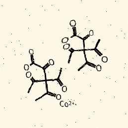 CC(=O)C(C(C)=O)(C(C)=O)C(=O)C(=O)[O-].CC(=O)C(C(C)=O)(C(C)=O)C(=O)C(=O)[O-].[Co+2]